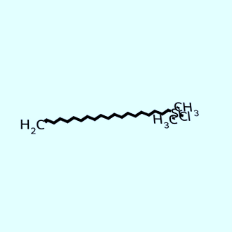 C=CCCCCCCCCCCCCCCCCCC[Si](C)(C)Cl